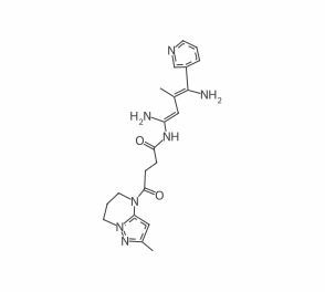 CC(/C=C(\N)NC(=O)CCC(=O)N1CCCn2nc(C)cc21)=C(/N)c1cccnc1